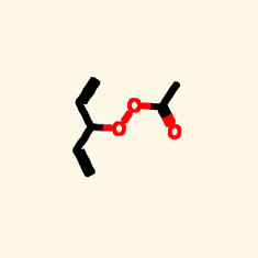 C=CC(C=C)OOC(C)=O